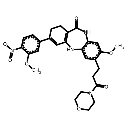 COc1cc2c(cc1CCC(=O)N1CCOCC1)NC1=C(CCC(c3ccc([N+](=O)[O-])c(OC)c3)=C1)C(=O)N2